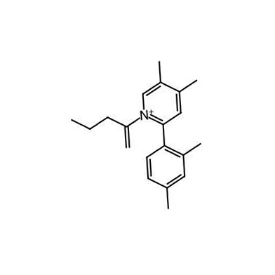 C=C(CCC)[n+]1cc(C)c(C)cc1-c1ccc(C)cc1C